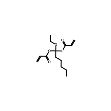 C=CC(=O)OC(CCCCC)(OCC)OC(=O)C=C